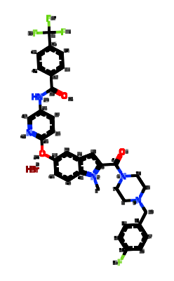 Br.Cn1c(C(=O)N2CCN(Cc3ccc(F)cc3)CC2)cc2cc(Oc3ccc(NC(=O)c4ccc(C(F)(F)F)cc4)cn3)ccc21